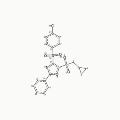 O=S(=O)(CC1CC1)c1oc(-c2ccccc2)nc1S(=O)(=O)c1ccc(Cl)cc1